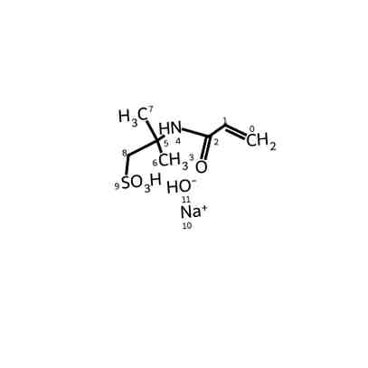 C=CC(=O)NC(C)(C)CS(=O)(=O)O.[Na+].[OH-]